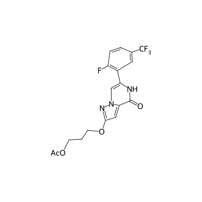 CC(=O)OCCCOc1cc2c(=O)[nH]c(-c3cc(C(F)(F)F)ccc3F)cn2n1